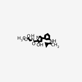 C=C(Nc1cccc(-c2cnc(C(=O)NCC(=O)OC)c(O)c2)c1)C1CC1